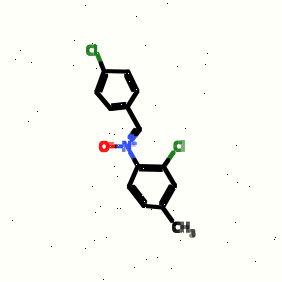 Cc1ccc([N+]([O-])=Cc2ccc(Cl)cc2)c(Cl)c1